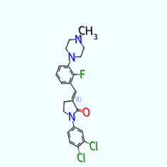 CN1CCN(c2cccc(/C=C3\CCN(c4ccc(Cl)c(Cl)c4)C3=O)c2F)CC1